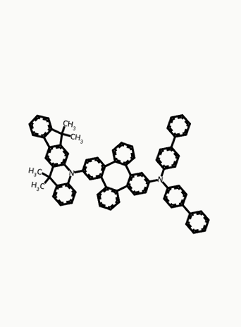 CC1(C)c2ccccc2-c2cc3c(cc21)N(c1ccc2c(c1)-c1ccccc1-c1ccc(N(c4ccc(-c5ccccc5)cc4)c4ccc(-c5ccccc5)cc4)cc1-c1ccccc1-2)c1ccccc1C3(C)C